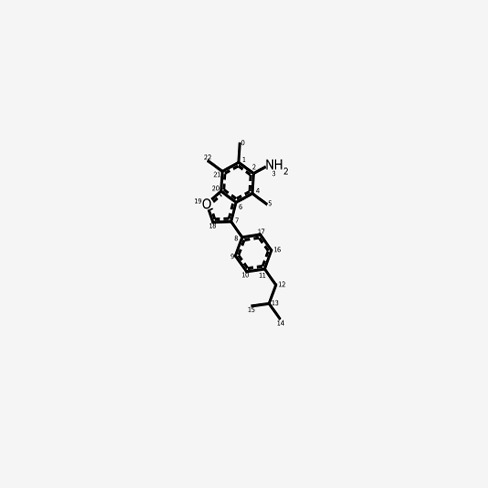 Cc1c(N)c(C)c2c(-c3ccc(CC(C)C)cc3)coc2c1C